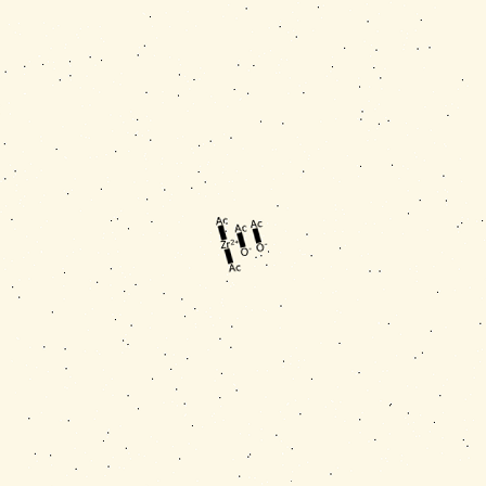 CC(=O)[O-].CC(=O)[O-].C[C](=O)[Zr+2][C](C)=O